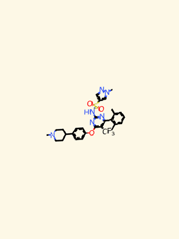 Cc1cccc(C)c1-c1nc(NS(=O)(=O)c2cnn(C)c2)nc(Oc2ccc(C3CCN(C)CC3)cc2)c1C(F)(F)F